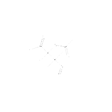 CC(=O)NC(S)(C(=O)O)C(C)(C)N=O